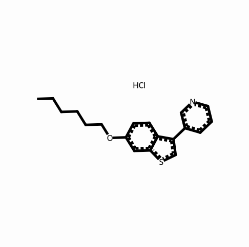 CCCCCCOc1ccc2c(-c3cccnc3)csc2c1.Cl